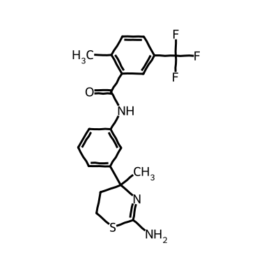 Cc1ccc(C(F)(F)F)cc1C(=O)Nc1cccc(C2(C)CCSC(N)=N2)c1